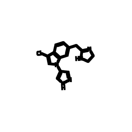 Clc1cn(-c2cn[nH]c2)c2cc(CC3=NCCN3)ccc12